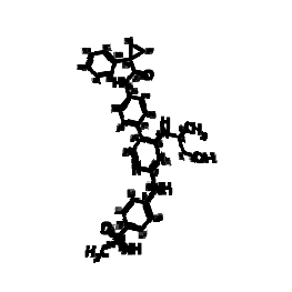 CC(CO)Nc1nc(Nc2ccc(S(C)(=N)=O)cc2)ncc1-c1ccc(NC(=O)C2(c3ccccc3)CC2)cc1